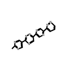 Cc1ncc(-c2ncc(-c3cnc(-c4cccnn4)cn3)nn2)cn1